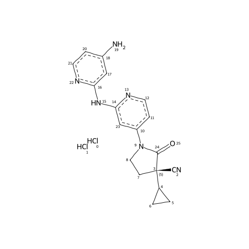 Cl.Cl.N#C[C@@]1(C2CC2)CCN(c2ccnc(Nc3cc(N)ccn3)c2)C1=O